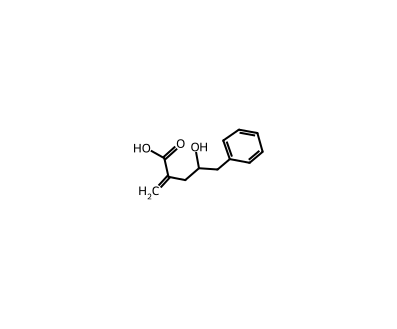 C=C(CC(O)Cc1ccccc1)C(=O)O